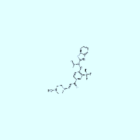 CC(=O)N(Oc1ccc(C(=O)/C=C/N2CCN(O)CC2)cc1C(F)(F)F)c1nc2ccccc2s1